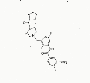 Cc1ccc(C(=O)Nc2cc(F)cc(CN3CCN(C(=O)C4CCCC4)[C@@H](C)C3)c2C)cc1C#N